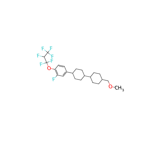 COCC1CCC(C2CCC(c3ccc(OC(F)(F)C(F)C(F)(F)F)c(F)c3)CC2)CC1